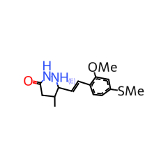 COc1cc(SC)ccc1/C=C/C1NNC(=O)CC1C